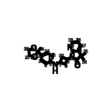 CC1(c2ccc(NC3CC(N4C(=O)C(C)(C)c5cccnc54)C3)nc2)OCCO1